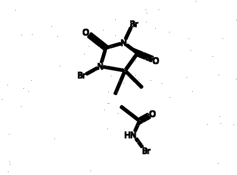 CC(=O)NBr.CC1(C)C(=O)N(Br)C(=O)N1Br